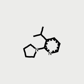 CC(C)c1cccnc1N1CCCC1